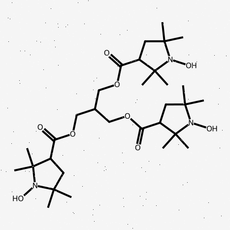 CC1(C)CC(C(=O)OCC(COC(=O)C2CC(C)(C)N(O)C2(C)C)COC(=O)C2CC(C)(C)N(O)C2(C)C)C(C)(C)N1O